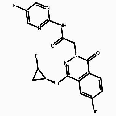 O=C(Cn1nc(O[C@H]2CC2F)c2cc(Br)ccc2c1=O)Nc1ncc(F)cn1